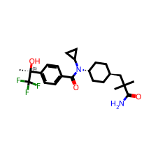 CC(C)(C[C@H]1CC[C@H](N(C(=O)c2ccc([C@](C)(O)C(F)(F)F)cc2)C2CC2)CC1)C(N)=O